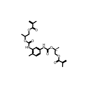 C=C(C)C(=O)OCC(C)OC(=O)Nc1cc(NC(=O)O[C@@H](C)COC(=O)C(=C)C)ccc1C